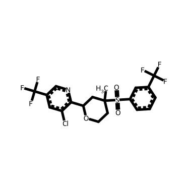 CC1(S(=O)(=O)c2cccc(C(F)(F)F)c2)CCOC(c2ncc(C(F)(F)F)cc2Cl)C1